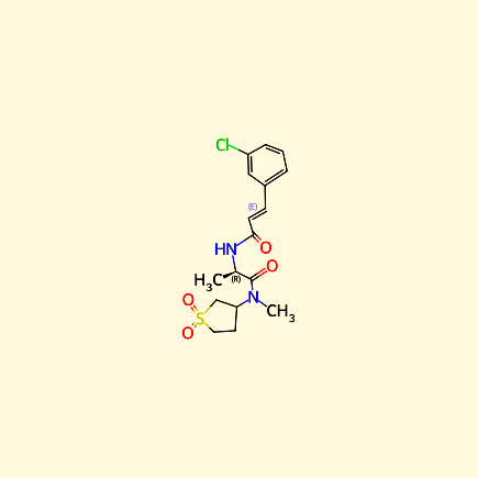 C[C@@H](NC(=O)/C=C/c1cccc(Cl)c1)C(=O)N(C)C1CCS(=O)(=O)C1